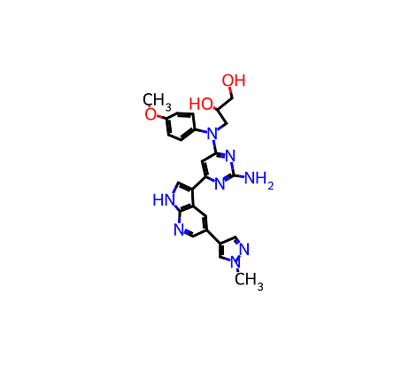 COc1ccc(N(CC(O)CO)c2cc(-c3c[nH]c4ncc(-c5cnn(C)c5)cc34)nc(N)n2)cc1